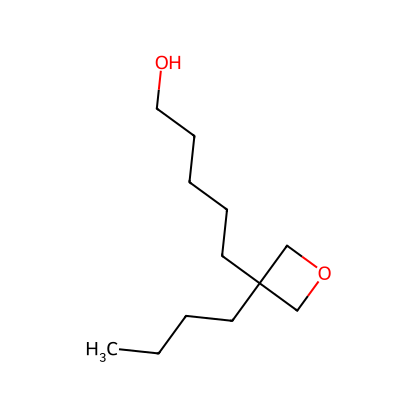 CCCCC1(CCCCCO)COC1